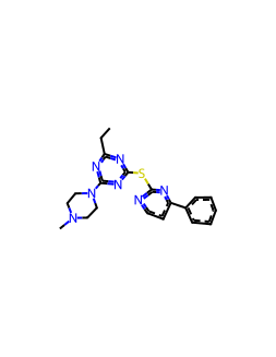 CCc1nc(Sc2nccc(-c3ccccc3)n2)nc(N2CCN(C)CC2)n1